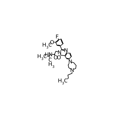 CCCCN1CCCN(c2ccc3nc(-c4ccc(F)c(OC)c4)n(CC(=O)NC(C)C)c(=O)c3c2)CC1